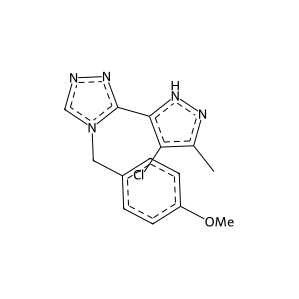 COc1ccc(Cn2cnnc2-c2[nH]nc(C)c2Cl)cc1